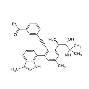 CCC(=O)c1cccc(C#Cc2c(-c3cccc4c(C)c[nH]c34)cc(C)c3c2[C@@H](C)[C@H](O)C(C)(C)N3)c1